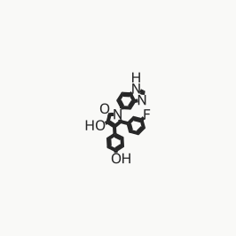 O=C1C(O)=C(c2ccc(O)cc2)C(c2cccc(F)c2)N1c1ccc2[nH]cnc2c1